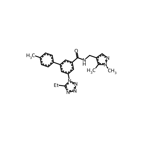 CCc1nnnn1-c1cc(C(=O)NCc2cnn(C)c2C)cc(-c2ccc(C)cc2)c1